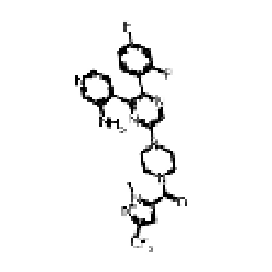 Cn1nc(C(F)(F)F)cc1C(=O)N1CCN(c2cnc(-c3ccc(F)cc3F)c(-c3ccncc3N)n2)CC1